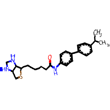 CC(C)c1ccc(-c2ccc(NC(=O)CCCCC3SCC4NCNC43)cc2)cc1